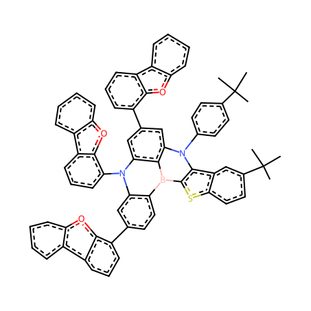 CC(C)(C)c1ccc(N2c3cc(-c4cccc5c4oc4ccccc45)cc4c3B(c3ccc(-c5cccc6c5oc5ccccc56)cc3N4c3cccc4c3oc3ccccc34)c3sc4ccc(C(C)(C)C)cc4c32)cc1